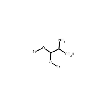 CCOC(OCC)C(N)C(=O)O